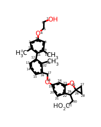 Cc1cc(OCCO)cc(C)c1-c1cccc(COc2ccc3c(c2)OC2(CC2)C3CC(=O)O)c1C